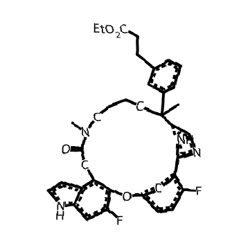 CCOC(=O)CCc1cccc(C2(C)CCCCN(C)C(=O)Cc3c(c(F)cc4[nH]ccc34)Oc3ccc(F)c(c3)-c3ncc2[nH]3)c1